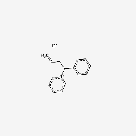 C=CCC(c1ccccc1)[n+]1ccccc1.[Cl-]